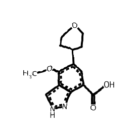 COc1c(C2CCOCC2)cc(C(=O)O)c2n[nH]cc12